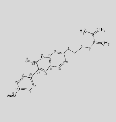 C=C(C)C(=C)OCCCc1ccc2cc(-c3ccc(OC)cc3)c(=O)oc2c1